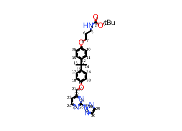 CC(C)(C)OC(=O)NCCCOc1ccc(C(C)(C)c2ccc(OCc3ccnc(-n4nccn4)n3)cc2)cc1